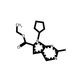 CCOC(=O)c1cc2cnc(I)nc2n1C1CCCC1